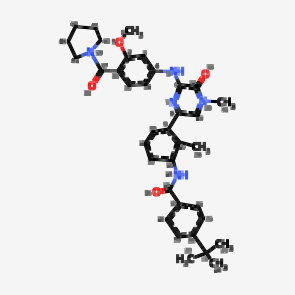 COc1cc(Nc2nc(-c3cccc(NC(=O)c4ccc(C(C)(C)C)cc4)c3C)cn(C)c2=O)ccc1C(=O)N1CCCCC1